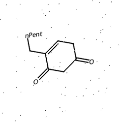 CCCCCCC1=CCC(=O)CC1=O